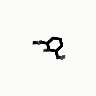 O=S(=O)(O)[CH]1CCC[CH](S(=O)(=O)O)[AlH]1